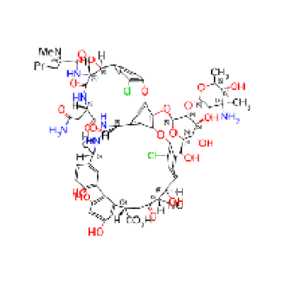 CN[C@H](CC(C)C)C(=O)N[C@H]1C(=O)N[C@@H](CC(N)=O)C(=O)N[C@H]2C(=O)N[C@@H](C)c3ccc(O)c(c3)-c3c(O)cc(O)cc3[C@@H](C(=O)O)CC(=O)[C@@H](N=O)[C@H](O)c3ccc(c(Cl)c3)Oc3cc2cc(c3O[C@@H]2O[C@H](CO)[C@@H](O)[C@H](O)[C@H]2O[C@H]2C[C@](C)(N)[C@H](O)[C@H](C)O2)Oc2ccc(cc2Cl)[C@H]1O